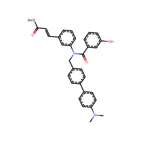 COC(=O)/C=C/c1cccc(N(Cc2ccc(-c3ccc(N(C)C)cc3)cc2)C(=O)c2cccc(O)c2)c1